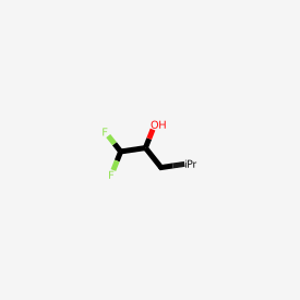 CC(C)CC(O)C(F)F